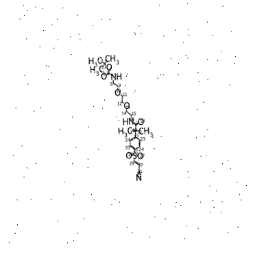 CC(C)(C)OC(=O)NCCOCCOCCNC(=O)C(C)(C)c1ccc(S(=O)(=O)/C=C/C#N)cc1